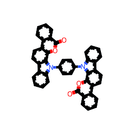 O=c1oc2c(ccc3c4ccccc4n(-c4ccc(-n5c6ccccc6c6ccc7c8ccccc8c(=O)oc7c65)cc4)c32)c2ccccc12